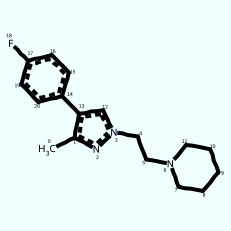 Cc1nn(CCN2CCCCC2)cc1-c1ccc(F)cc1